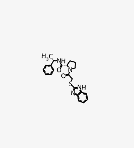 C[C@H](NC(=O)[C@@H]1CCCN1C(=O)CSc1nc2ccccc2[nH]1)c1ccccc1